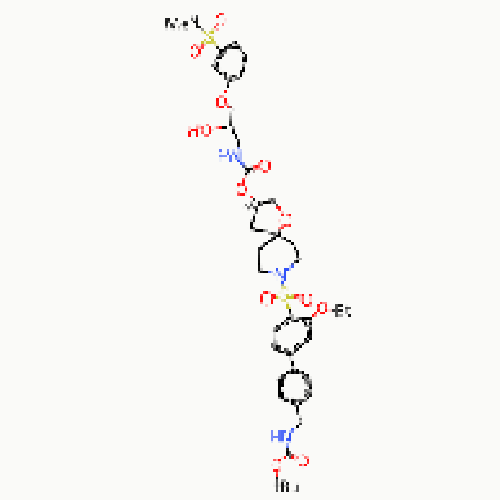 CCOc1cc(-c2ccc(CNC(=O)OC(C)(C)C)cc2)ccc1S(=O)(=O)N1CCC2(CC1)C[C@H](OC(=O)NCC(O)COc1cccc(S(=O)(=O)NC)c1)CO2